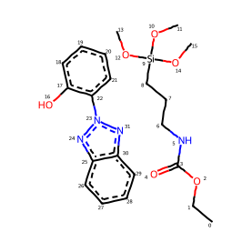 CCOC(=O)NCCC[Si](OC)(OC)OC.Oc1ccccc1-n1nc2ccccc2n1